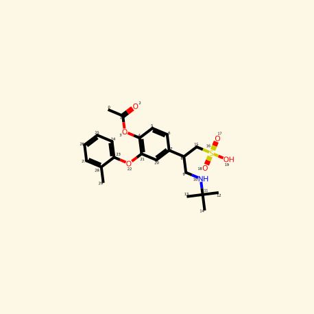 CC(=O)Oc1ccc(C(CNC(C)(C)C)CS(=O)(=O)O)cc1Oc1ccccc1C